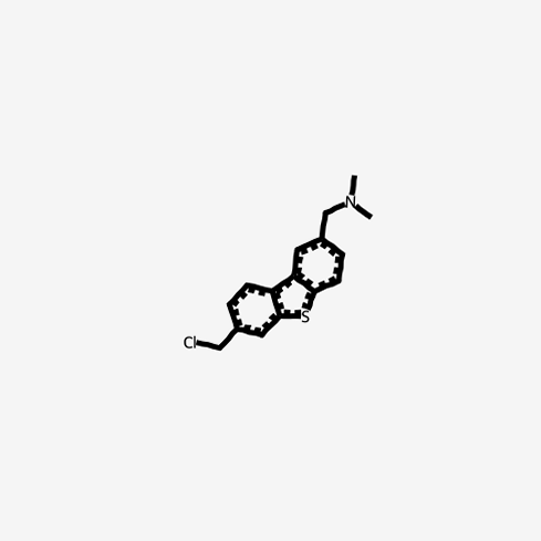 CN(C)Cc1ccc2sc3cc(CCl)ccc3c2c1